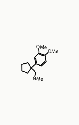 CNCC1(c2ccc(OC)c(OC)c2)CCCC1